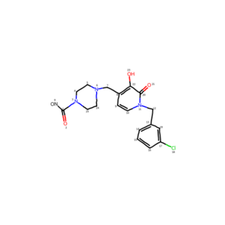 O=NC(=O)N1CCN(Cc2ccn(Cc3cccc(Cl)c3)c(=O)c2O)CC1